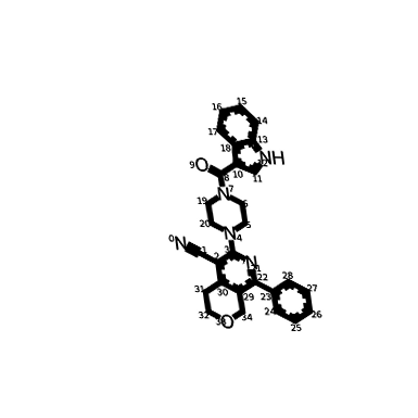 N#Cc1c(N2CCN(C(=O)c3c[nH]c4ccccc34)CC2)nc(-c2ccccc2)c2c1CCOC2